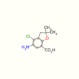 CC1(C)Cc2c(Cl)c(N)cc(C(=O)O)c2O1